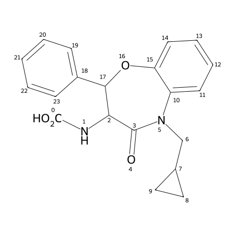 O=C(O)NC1C(=O)N(CC2CC2)c2ccccc2OC1c1ccccc1